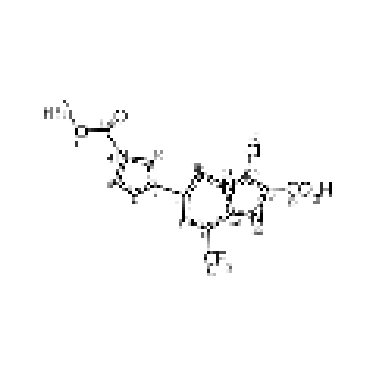 CC(C)(C)OC(=O)n1ccc(-c2cc(C(F)(F)F)c3nc(C(=O)O)c(Cl)n3c2)c1